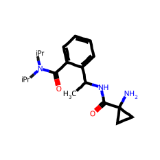 CC(NC(=O)C1(N)CC1)c1ccccc1C(=O)N(C(C)C)C(C)C